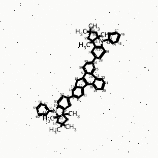 CC1(C)CC2(C)c3cc(-c4ccc5c(c4)Cc4c-5c5ccccc5c5cc(-c6ccc7c(c6)C6(C)CC(C)(C)CC6(C)N7c6ccccc6)ccc45)ccc3N(c3ccccc3)C2(C)C1